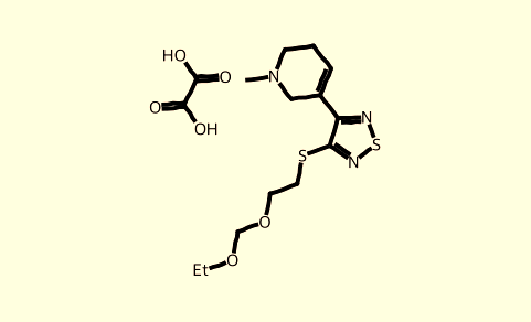 CCOCOCCSc1nsnc1C1=CCCN(C)C1.O=C(O)C(=O)O